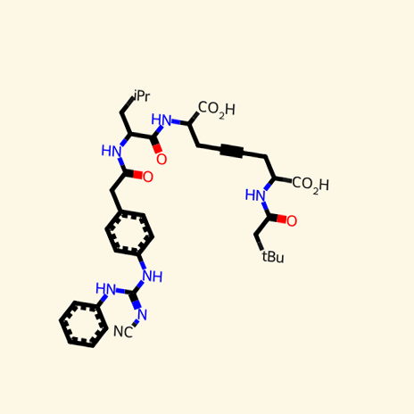 CC(C)CC(NC(=O)Cc1ccc(NC(=NC#N)Nc2ccccc2)cc1)C(=O)NC(CC#CCC(NC(=O)CC(C)(C)C)C(=O)O)C(=O)O